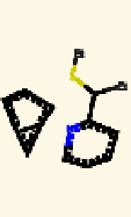 CCSC(CC)c1ccccn1.c1cc2cc-2c1